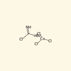 CCCCC(=N)Cl.[Cl][Co]([Cl])[Cl]